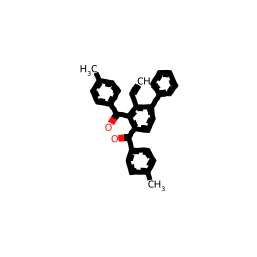 C=Cc1c(-c2ccccc2)ccc(C(=O)c2ccc(C)cc2)c1C(=O)c1ccc(C)cc1